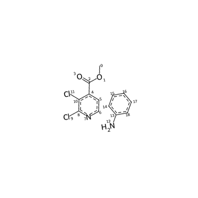 COC(=O)c1ccnc(Cl)c1Cl.Nc1ccccc1